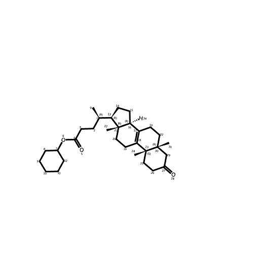 C[C@H](CCC(=O)OC1CCCCC1)[C@H]1CC[C@H]2C3=C(CC[C@]12C)[C@@]1(C)CCC(=O)C[C@@]1(C)CC3